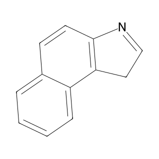 C1=Nc2ccc3ccccc3c2C1